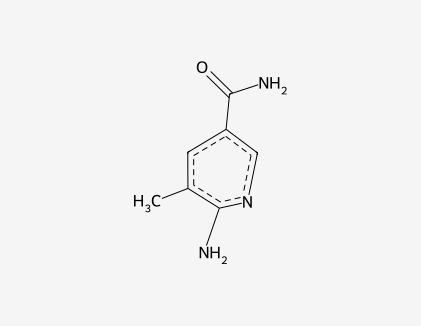 Cc1cc(C(N)=O)cnc1N